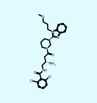 COCCCn1c([C@@H]2CCCN(C(=O)C[C@H](N)CNC(=O)c3c(Cl)cccc3Cl)C2)nc2ccccc21